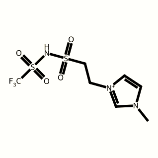 Cn1cc[n+](CCS(=O)(=O)NS(=O)(=O)C(F)(F)F)c1